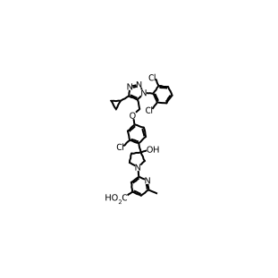 Cc1cc(C(=O)O)cc(N2CCC(O)(c3ccc(OCc4c(C5CC5)nnn4-c4c(Cl)cccc4Cl)cc3Cl)C2)n1